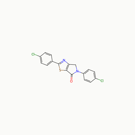 O=C1c2sc(-c3ccc(Cl)cc3)nc2CN1c1ccc(Cl)cc1